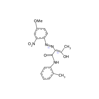 COc1ccc(/N=N/C(C(=O)Nc2ccccc2C)=C(\C)O)c([N+](=O)[O-])c1